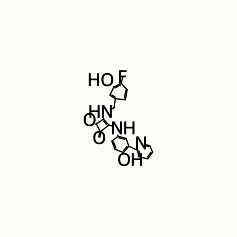 O=c1c(NCc2ccc(F)c(O)c2)c(Nc2ccc(O)c(-c3ccccn3)c2)c1=O